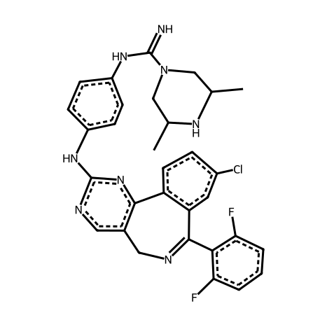 CC1CN(C(=N)Nc2ccc(Nc3ncc4c(n3)-c3ccc(Cl)cc3C(c3c(F)cccc3F)=NC4)cc2)CC(C)N1